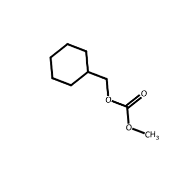 COC(=O)OCC1CCCCC1